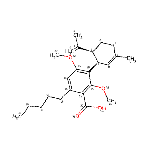 C=C(C)[C@H]1CCC(C)=C[C@H]1c1c(OC)cc(CCCCC)c(C(=O)O)c1OC